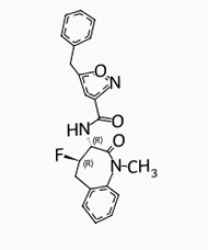 CN1C(=O)[C@@H](NC(=O)c2cc(Cc3ccccc3)on2)[C@H](F)Cc2ccccc21